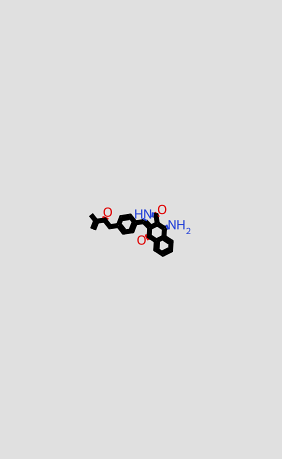 C=C(C)C(=O)Cc1ccc(C2=C3C(=O)c4ccccc4C(N)C3C(=O)N2)cc1